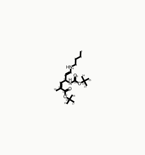 CCCCN/C=C/C(/C=C(/C)C(=O)OC(C)(C)C)NC(=O)OC(C)(C)C